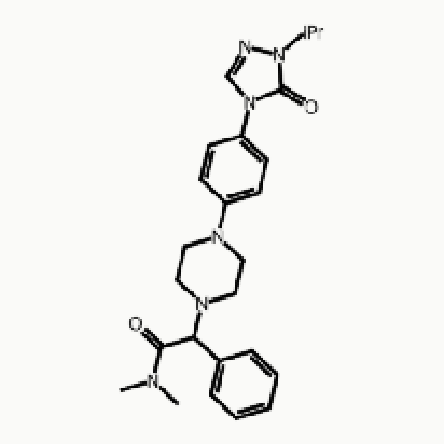 CC(C)n1ncn(-c2ccc(N3CCN(C(C(=O)N(C)C)c4ccccc4)CC3)cc2)c1=O